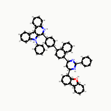 c1ccc(-c2nc(-c3ccc(-c4ccc(-c5nc6ccccc6c6c7ccccc7n(-c7ccccc7)c56)cc4)c4ccccc34)cc(-c3cccc4c3oc3ccccc34)n2)cc1